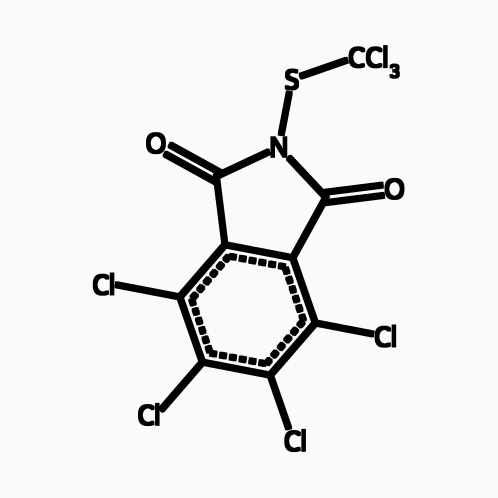 O=C1c2c(Cl)c(Cl)c(Cl)c(Cl)c2C(=O)N1SC(Cl)(Cl)Cl